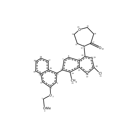 COCOc1cc(-c2ccc3c(N4CCOCCC4=O)nc(Cl)nc3c2C)c2ccccc2c1